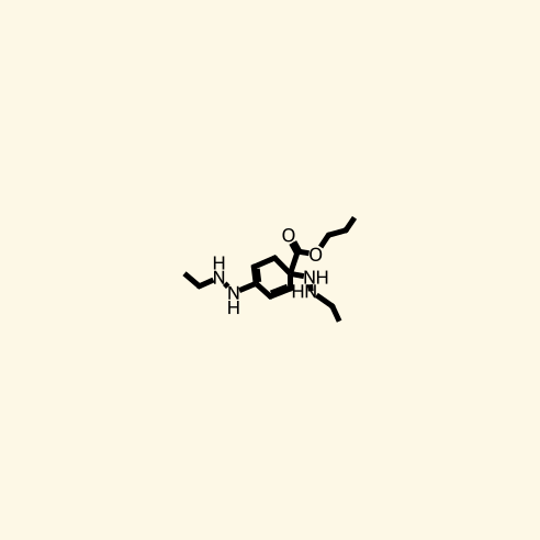 CCCOC(=O)C1(NNCC)C=CC(NNCC)=CC1